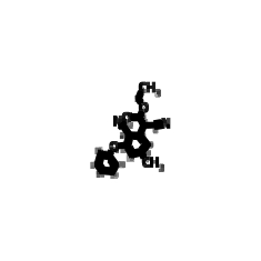 CCOC(=O)C(C#N)c1cc(C)cc(Oc2ccccc2)c1C#N